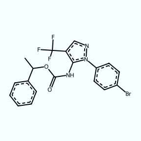 CC(OC(=O)Nc1c(C(F)(F)F)cnn1-c1ccc(Br)cc1)c1ccccc1